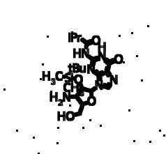 CC(C)C(=O)Nc1nc2c(ncn2C2OC(CO)C(N)C2O[Si](C)(C)C(C)(C)C)c(=O)[nH]1